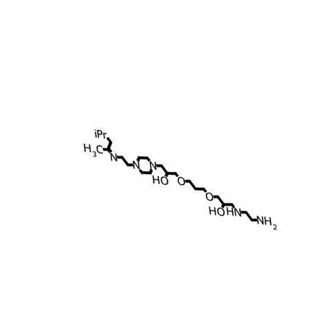 CC(CC(C)C)=NCCN1CCN(CC(O)COCCCOCC(O)CNCCN)CC1